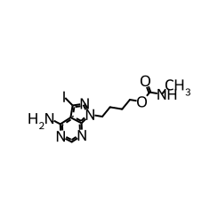 CNC(=O)OCCCCn1nc(I)c2c(N)ncnc21